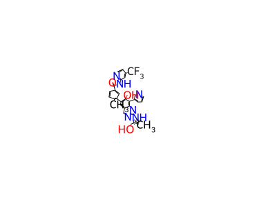 Cc1ccc(C(=O)Nc2cc(C(F)(F)F)ccn2)cc1-c1cc2cnc(N[C@@H](C)CO)nc2c(-c2cccnc2)c1O